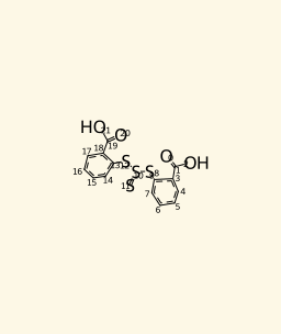 O=C(O)c1ccccc1SS(=S)Sc1ccccc1C(=O)O